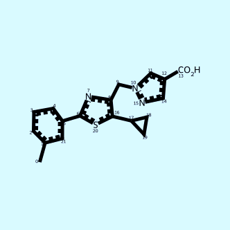 Cc1cccc(-c2nc(Cn3cc(C(=O)O)cn3)c(C3CC3)s2)c1